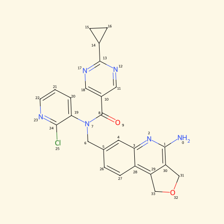 Nc1nc2cc(CN(C(=O)c3cnc(C4CC4)nc3)c3cccnc3Cl)ccc2c2c1COC2